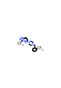 FC(F)(F)c1ccccc1CN1CCN(c2ccc3nnc(C(F)(F)F)n3n2)CC1